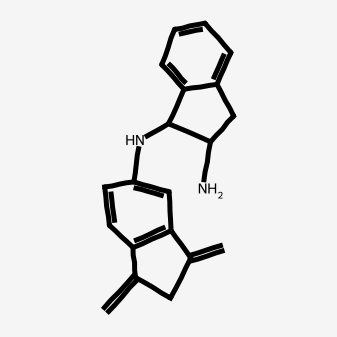 C=C1CC(=C)c2cc(NC3c4ccccc4CC3N)ccc21